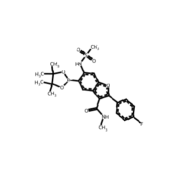 CNC(=O)c1c(-c2ccc(F)cc2)oc2cc(NS(C)(=O)=O)c(B3OC(C)(C)C(C)(C)O3)cc12